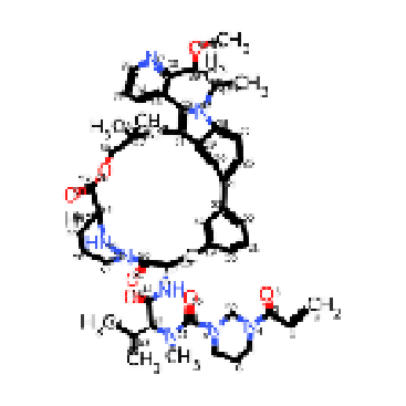 C=CC(=O)N1CCCN(C(=O)N(C)[C@H](C(=O)N[C@H]2Cc3cccc(c3)-c3ccc4c(c3)c(c(-c3cccnc3[C@H](C)OC)n4CC)CC(C)(C)COC(=O)[C@@H]3CCCN(N3)C2=O)C(C)C)C1